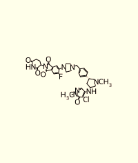 CN1C[C@H](Nc2cnn(C)c(=O)c2Cl)C[C@H](c2ccc(CN3CCN(c4cc5c(cc4F)C(=O)N(C4CCC(=O)NC4=O)C5=O)CC3)cc2)C1